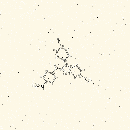 COc1ccc(Oc2sc3cc(C)ccc3c2-c2ccc(F)cc2)cc1